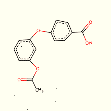 CC(=O)Oc1cccc(Oc2ccc(C(=O)O)cc2)c1